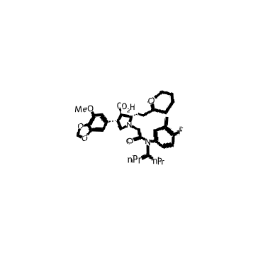 CCCC(CCC)N(C(=O)CN1C[C@H](c2cc(OC)c3c(c2)OCO3)[C@@H](C(=O)O)[C@@H]1CCC1CCCCO1)c1ccc(F)c(C)c1